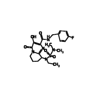 CCN(C1CCCn2c1nc(C(=O)NCc1ccc(F)cc1)c(O)c2=O)S(=O)(=O)N(C)C